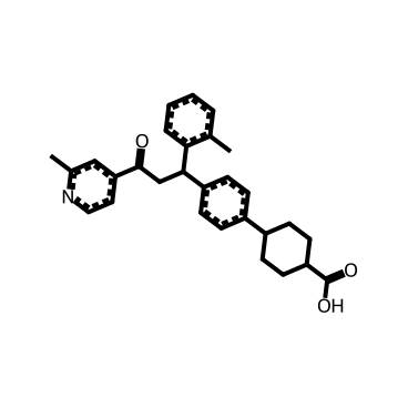 Cc1cc(C(=O)CC(c2ccc(C3CCC(C(=O)O)CC3)cc2)c2ccccc2C)ccn1